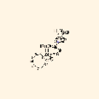 CC(C)COc1c(C(=O)NC2CCCCCCCCC2)cnn1/C=C/C(C)(C)C(N)=O